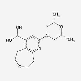 C[C@@H]1CN(c2cc(C(O)O)c3c(n2)CCOCC3)C[C@H](C)O1